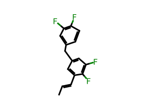 CC=Cc1cc(Cc2ccc(F)c(F)c2)cc(F)c1F